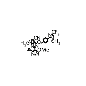 COc1ncnc(C2CC2)c1-c1nc(OCc2ccc(-c3nc(C(F)(F)F)cn3C)cc2)c2c(C#N)cn(C)c2n1